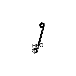 O=C(C=CCCCCCCc1ccccc1)NCC1CCOC1